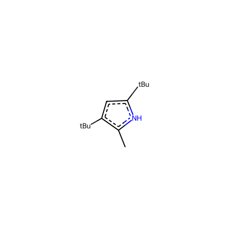 Cc1[nH]c(C(C)(C)C)cc1C(C)(C)C